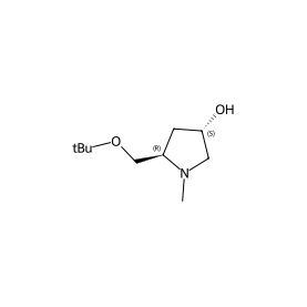 CN1C[C@@H](O)C[C@@H]1COC(C)(C)C